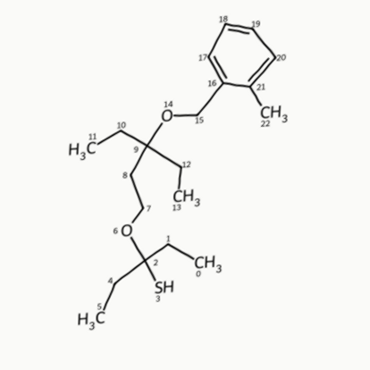 CCC(S)(CC)OCCC(CC)(CC)OCc1ccccc1C